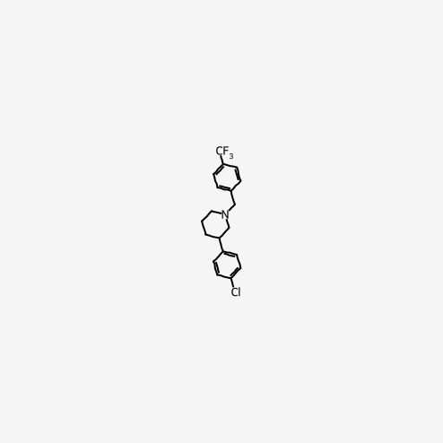 FC(F)(F)c1ccc(CN2CCCC(c3ccc(Cl)cc3)C2)cc1